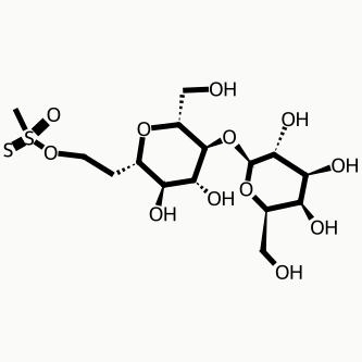 CS(=O)(=S)OCC[C@@H]1O[C@H](CO)[C@@H](O[C@@H]2O[C@H](CO)[C@H](O)[C@H](O)[C@H]2O)[C@H](O)[C@H]1O